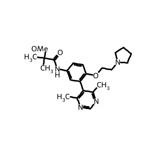 COC(C)(C)C(=O)Nc1ccc(OCCN2CCCC2)c(-c2c(C)ncnc2C)c1